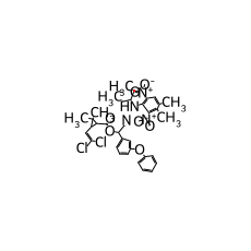 CC1(C)C(C=C(Cl)Cl)C1C(=O)OC(C#N)c1cccc(Oc2ccccc2)c1.CCC(CC)Nc1c([N+](=O)[O-])cc(C)c(C)c1[N+](=O)[O-]